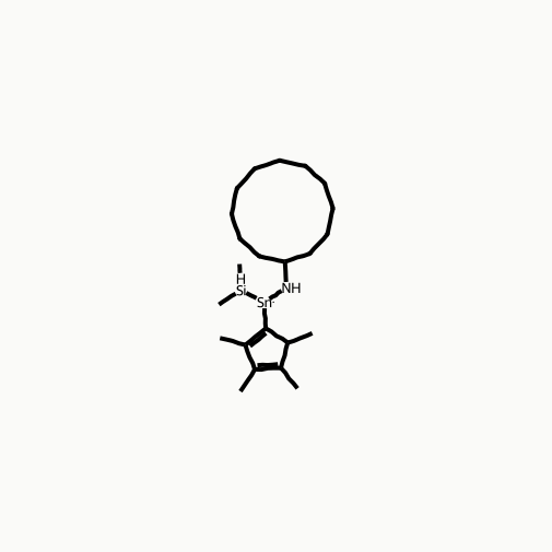 CC1=C(C)C(C)[C]([Sn]([NH]C2CCCCCCCCCCC2)[SiH](C)C)=C1C